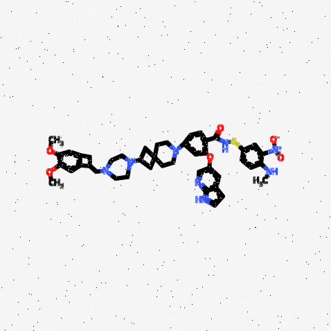 CNc1ccc(SNC(=O)c2ccc(N3CCC4(CC3)CC(N3CCN(CC5Cc6cc(OC)c(OC)cc65)CC3)C4)cc2Oc2cnc3[nH]ccc3c2)cc1[N+](=O)[O-]